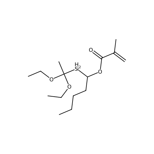 C=C(C)C(=O)OC(CCCC)[SiH2]C(C)(OCC)OCC